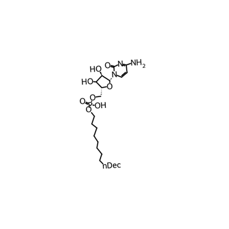 CCCCCCCCCCCCCCCCCCOP(=O)(O)OC[C@H]1O[C@@H](n2ccc(N)nc2=O)[C@H](O)C1O